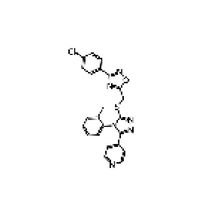 Cc1ccccc1-n1c(SCc2nc(-c3ccc(Cl)cc3)no2)nnc1-c1ccncc1